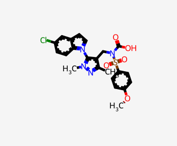 COc1ccc(S(=O)(=O)N(Cc2c(C)nn(C)c2-n2ccc3cc(Cl)ccc32)C(=O)O)cc1